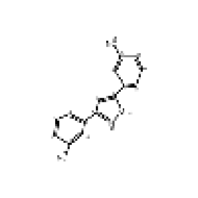 N#Cc1cccc(-c2cc(-c3cccc(C#N)c3)on2)c1